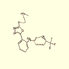 CNCCc1nnc(-c2ccccc2Nc2ccc(C(F)(F)F)cc2)o1